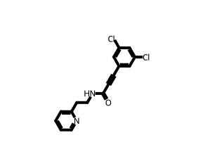 O=C(C#Cc1cc(Cl)cc(Cl)c1)NCCc1ccccn1